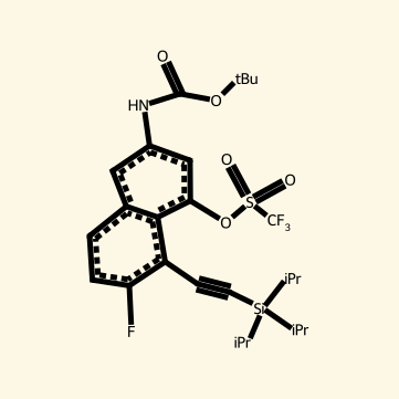 CC(C)[Si](C#Cc1c(F)ccc2cc(NC(=O)OC(C)(C)C)cc(OS(=O)(=O)C(F)(F)F)c12)(C(C)C)C(C)C